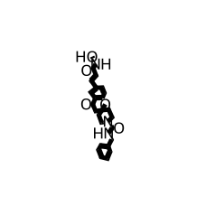 O=C(C=Cc1ccc2c(c1)C(=O)CC1(CCN(C(=O)NCc3ccccc3)CC1)O2)NO